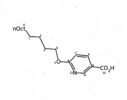 CCCCCCCCCCCCOc1ccc(C(=O)O)cn1